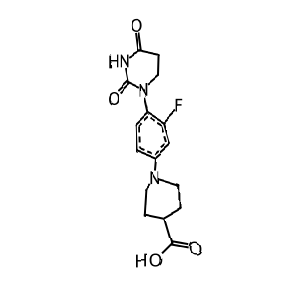 O=C1CCN(c2ccc(N3CCC(C(=O)O)CC3)cc2F)C(=O)N1